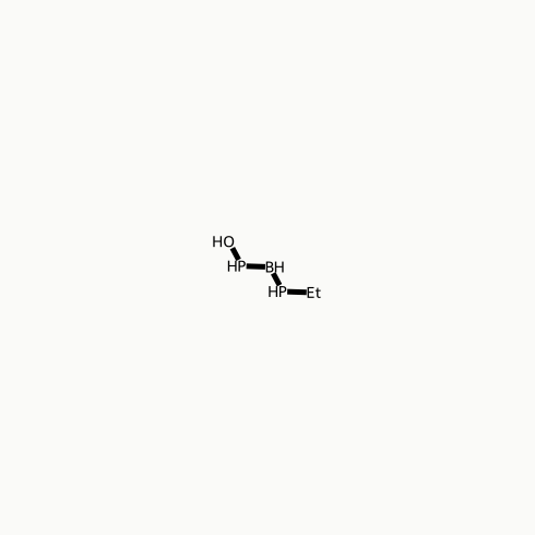 CCPBPO